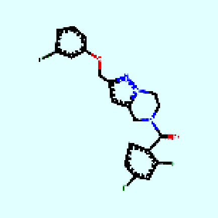 O=C(c1ccc(F)cc1F)N1CCn2nc(COc3cccc(F)c3)cc2C1